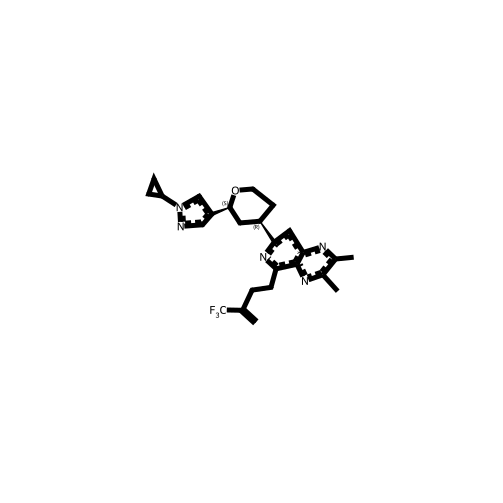 C=C(CCc1nc([C@@H]2CCO[C@H](c3cnn(C4CC4)c3)C2)cc2nc(C)c(C)nc12)C(F)(F)F